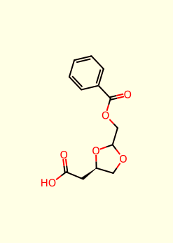 O=C(O)C[C@@H]1COC(COC(=O)c2ccccc2)O1